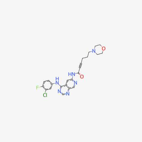 O=C(C#CCCCN1CCOCC1)Nc1cc2c(Nc3ccc(F)c(Cl)c3)ncnc2cn1